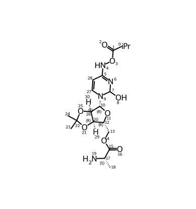 CC(C)C(=O)ONC1=NC(O)N([C@@H]2O[C@H](COC(=O)[C@H](C)N)[C@H]3OC(C)(C)O[C@H]32)C=C1